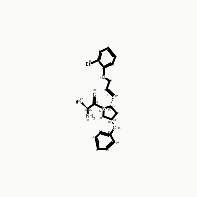 CCc1ccccc1OC/C=C/[C@@H]1C[C@H](Oc2ccccc2)CN1C(=O)[C@@H](N)C(C)C